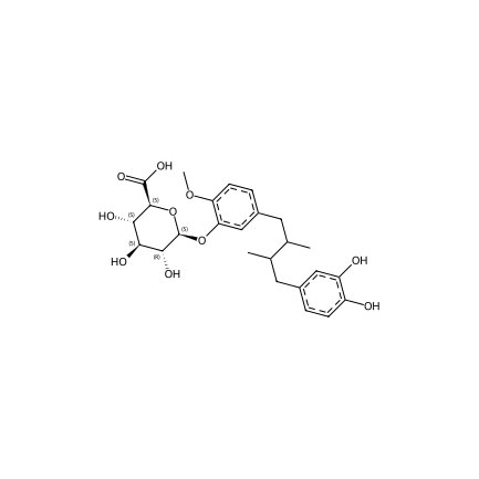 COc1ccc(CC(C)C(C)Cc2ccc(O)c(O)c2)cc1O[C@@H]1O[C@H](C(=O)O)[C@@H](O)[C@H](O)[C@H]1O